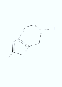 CCc1cc2c(s1)CN(C)CC2